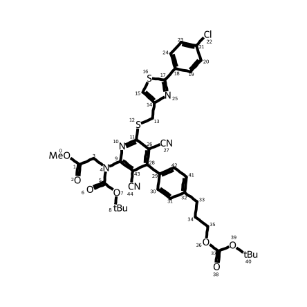 COC(=O)CN(C(=O)OC(C)(C)C)c1nc(SCc2csc(-c3ccc(Cl)cc3)n2)c(C#N)c(-c2ccc(CCCOC(=O)OC(C)(C)C)cc2)c1C#N